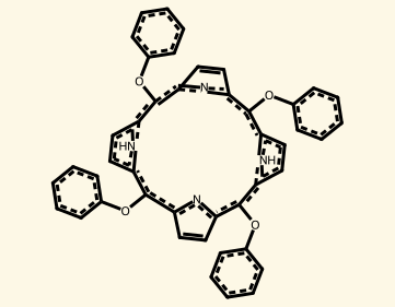 C1=Cc2nc1c(Oc1ccccc1)c1ccc([nH]1)c(Oc1ccccc1)c1nc(c(Oc3ccccc3)c3ccc([nH]3)c2Oc2ccccc2)C=C1